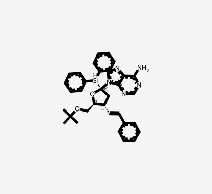 CC(C)(C)OC[C@H]1O[C@](n2cnc3c(N)ncnc32)([SiH](c2ccccc2)c2ccccc2)C[C@@H]1C=Cc1ccccc1